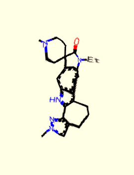 CCN1C(=O)C2(CCN(C)CC2)c2cc3[nH]c4c(c3cc21)CCCc1cn(C)nc1-4